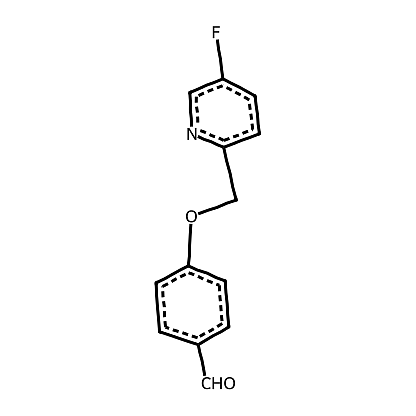 O=Cc1ccc(OCc2ccc(F)cn2)cc1